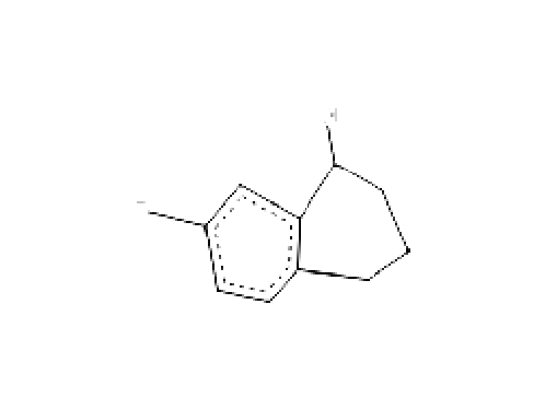 OC1CCCc2ccc(F)cc21